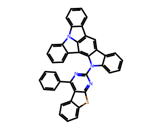 c1ccc(-c2nc(-n3c4ccccc4c4cc5c6ccccc6n6c7ccccc7c(c43)c56)nc3sc4ccccc4c23)cc1